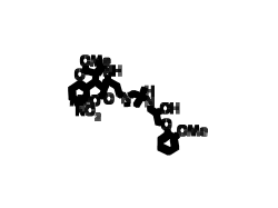 COC(=O)C1=C(C)NC(CCN(C)CC(C)(C)NCC(O)COc2ccccc2OC)=C(C(=O)OC)C1c1cccc([N+](=O)[O-])c1